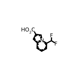 O=C(O)c1cc2cccc(C(F)F)n2c1